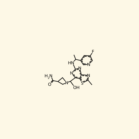 Cc1nc2nc(NC(C)c3cncc(F)c3)nc(C(O)N3CC(C(N)=O)C3)c2s1